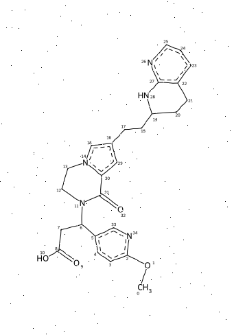 COc1ccc(C(CC(=O)O)N2CCn3cc(CCC4CCc5cccnc5N4)cc3C2=O)cn1